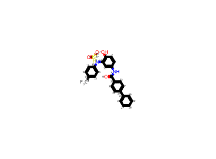 O=C(Nc1ccc(O)c(N(c2ccc(C(F)(F)F)cc2)[SH](=O)=O)c1)c1ccc(-c2ccccc2)cc1